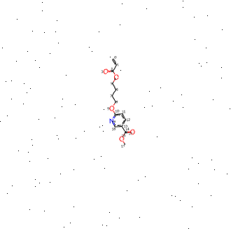 C=CC(=O)OCCCCOc1ccc(C(=O)OC)cn1